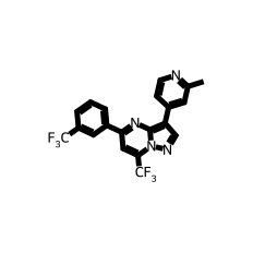 Cc1cc(-c2cnn3c(C(F)(F)F)cc(-c4cccc(C(F)(F)F)c4)nc23)ccn1